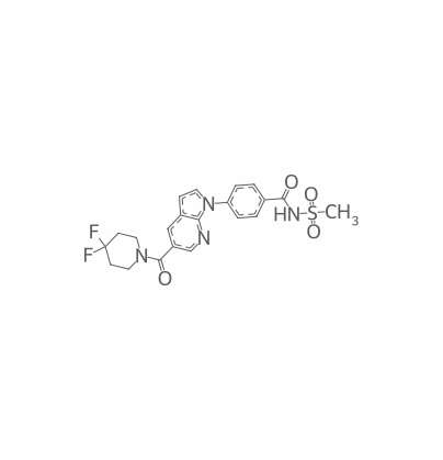 CS(=O)(=O)NC(=O)c1ccc(-n2ccc3cc(C(=O)N4CCC(F)(F)CC4)cnc32)cc1